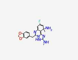 CNC1=NC2=C3C(=CC(F)=CC3(C)N)N=C(Cc3ccc4c(c3)OCO4)N2N1